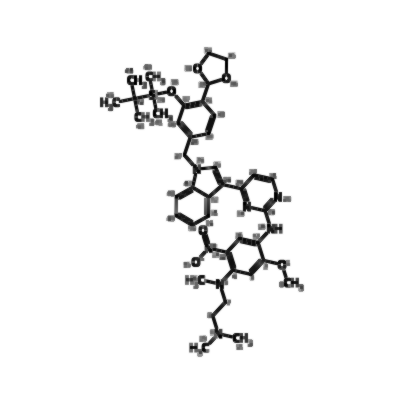 COc1cc(N(C)CCN(C)C)c([N+](=O)[O-])cc1Nc1nccc(-c2cn(Cc3ccc(C4OCCO4)c(O[Si](C)(C)C(C)(C)C)c3)c3ccccc23)n1